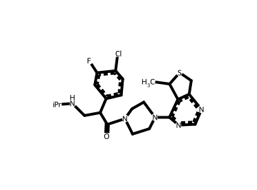 CC(C)NCC(C(=O)N1CCN(c2ncnc3c2C(C)SC3)CC1)c1ccc(Cl)c(F)c1